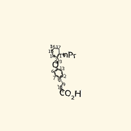 CCCC1=C(COc2ccc(CCC(=O)O)cc2)CCCC1